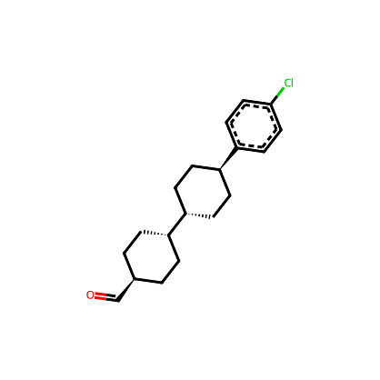 O=C[C@H]1CC[C@H]([C@H]2CC[C@H](c3ccc(Cl)cc3)CC2)CC1